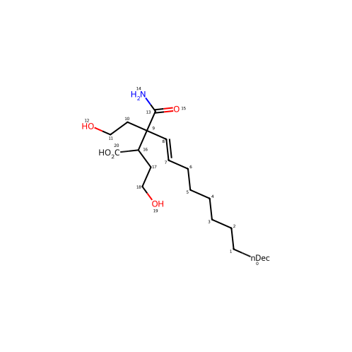 CCCCCCCCCCCCCCCCC=CC(CCO)(C(N)=O)C(CCO)C(=O)O